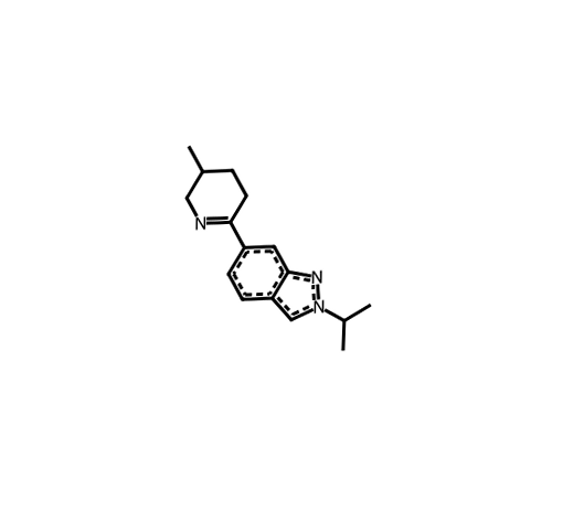 CC1CCC(c2ccc3cn(C(C)C)nc3c2)=NC1